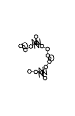 c1ccc(-c2ccc(-c3nc(-c4ccccc4)nc(-c4ccc(-c5ccc6oc7cc(-c8cccc(-c9ccc(-c%10nc(-c%11ccccc%11)nc(-c%11ccc(-c%12cccc%13c%12oc%12ccccc%12%13)cc%11)n%10)cc9)c8)ccc7c6c5)cc4)n3)cc2)cc1